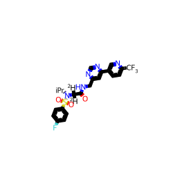 [2H]C([2H])(C(=O)NCc1cc(-c2ccc(C(F)(F)F)nc2)ncn1)N(C(C)C)S(=O)(=O)c1ccc(F)cc1